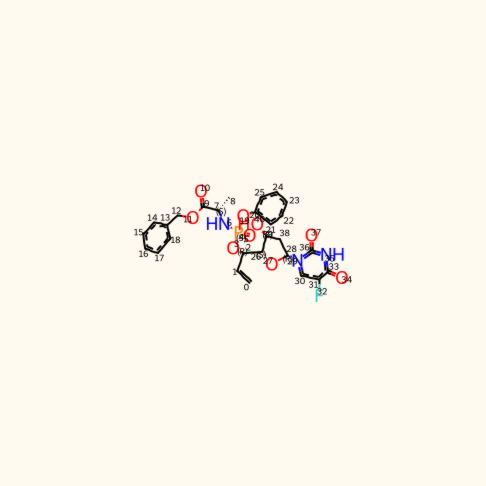 C=C[C@@H](O[P@@](=O)(N[C@@H](C)C(=O)OCc1ccccc1)Oc1ccccc1)[C@H]1O[C@@H](n2cc(F)c(=O)[nH]c2=O)C[C@@H]1O